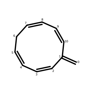 C=C1/C=C\C=C/C/C=C\C=C/1